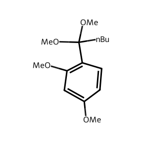 CCCCC(OC)(OC)c1ccc(OC)cc1OC